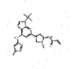 C=CC(=O)N[C@@H]1CN(c2nc(Nc3cnn(C)c3)c3ncn(C(C)(C)C)c3n2)C[C@@H]1F